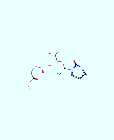 CC(C)OC(=O)[C@H](C)N[PH](=O)OC[C@@H](O[C@H](CBr)n1ccc(=O)[nH]c1=O)[C@@H](O)Cl